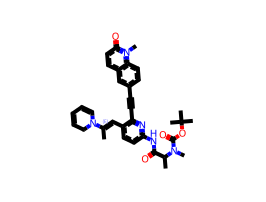 C/C(=C\c1ccc(NC(=O)C(C)N(C)C(=O)OC(C)(C)C)nc1C#Cc1ccc2c(ccc(=O)n2C)c1)N1C=CC=CC1